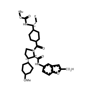 COC1CCC([C@@H]2CCN(C(=O)C3CCC([C@@H](CF)NC(=O)OC(C)(C)C)CC3)[C@H]2C(=O)Nc2ccc3oc(C(=O)O)cc3c2)CC1